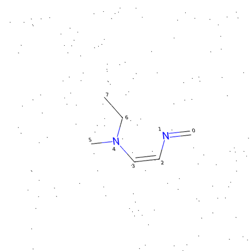 C=N/C=C\N(C)CC